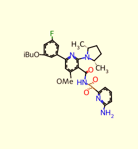 COc1cc(-c2cc(F)cc(OCC(C)C)c2)nc(N2[C@H](C)CC[C@@H]2C)c1C(=O)NS(=O)(=O)c1cccc(N)n1